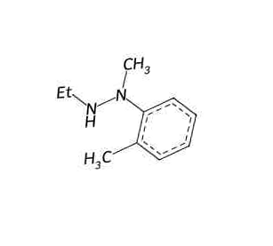 CCNN(C)c1ccccc1C